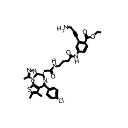 CCOC(=O)c1ccc(NC(=O)CCCNC(=O)C[C@@H]2N=C(c3ccc(Cl)cc3)c3c(sc(C)c3C)-n3c(C)nnc32)cc1C#CCN